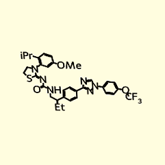 CCC(CNC(=O)/N=C1\SCCN1c1cc(OC)ccc1C(C)C)c1ccc(-c2ncn(-c3ccc(OC(F)(F)F)cc3)n2)cc1